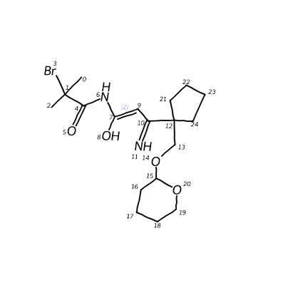 CC(C)(Br)C(=O)N/C(O)=C/C(=N)C1(COC2CCCCO2)CCCC1